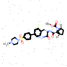 CN1CCN(S(=O)(=O)c2ccc(-c3ccc(C[C@H](NC(=O)[C@@H]4[C@H]5CC[C@H](C5)N4C(=O)OC(C)(C)C)C(N)=O)c(F)c3)cc2)CC1